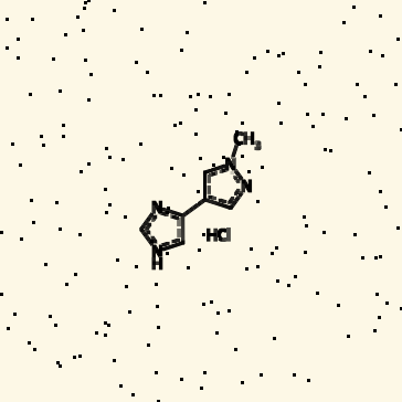 Cl.Cn1cc(-c2c[nH]cn2)cn1